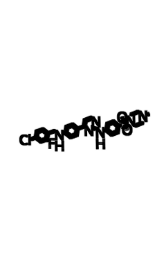 CN1CCN(S(=O)(=O)c2ccc(Nc3nccc(-c4ccc(NCc5ccc(Cl)cc5F)cc4)n3)cc2)CC1